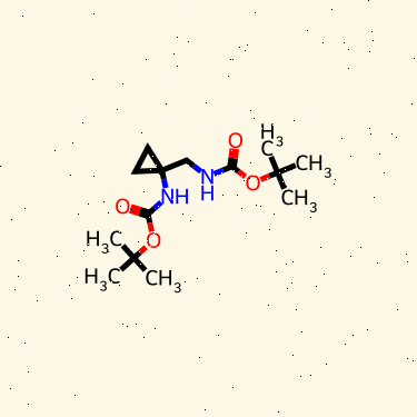 CC(C)(C)OC(=O)NCC1(NC(=O)OC(C)(C)C)CC1